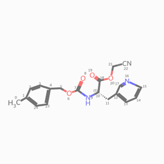 Cc1ccc(COC(=O)N[C@@H](Cc2cccnc2)C(=O)OCC#N)cc1